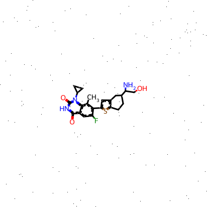 Cc1c(-c2cc3c(s2)CCC(C(N)CO)C3)c(F)cc2c(=O)[nH]c(=O)n(C3CC3)c12